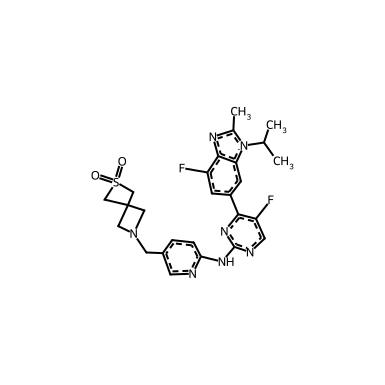 Cc1nc2c(F)cc(-c3nc(Nc4ccc(CN5CC6(C5)CS(=O)(=O)C6)cn4)ncc3F)cc2n1C(C)C